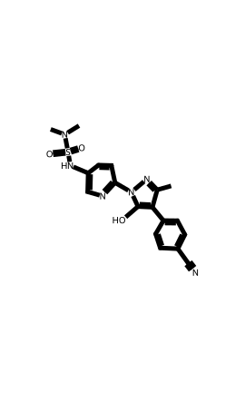 Cc1nn(-c2ccc(NS(=O)(=O)N(C)C)cn2)c(O)c1-c1ccc(C#N)cc1